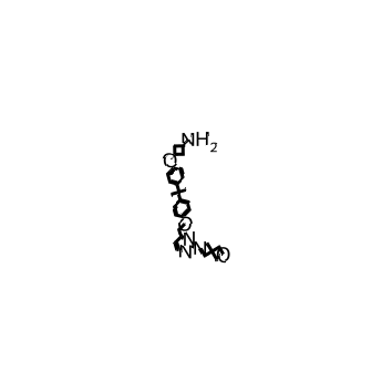 CC(C)(c1ccc(OCc2ccnc(N3CC4(COC4)C3)n2)cc1)c1ccc(O[C@H]2C[C@H](N)C2)cc1